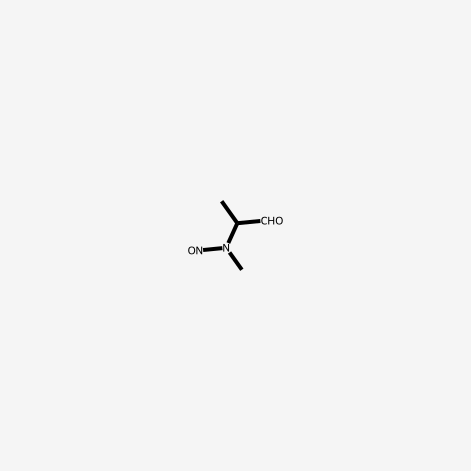 CC(C=O)N(C)N=O